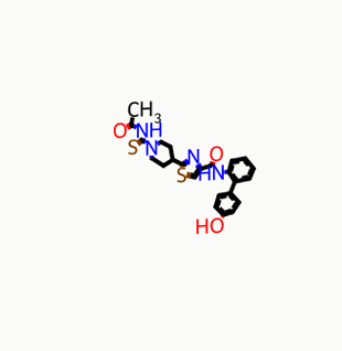 CC(=O)NC(=S)N1CCC(c2nc(C(=O)Nc3ccccc3-c3ccc(O)cc3)cs2)CC1